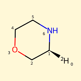 [2H][C@H]1COCCN1